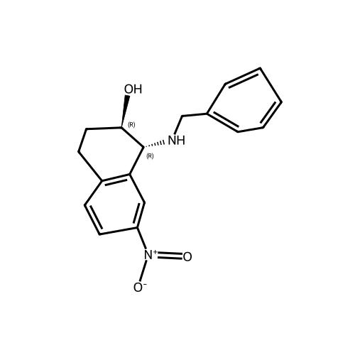 O=[N+]([O-])c1ccc2c(c1)[C@@H](NCc1ccccc1)[C@H](O)CC2